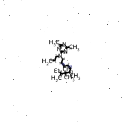 C=CCN(C/C=C\C=C/C(C)C(C)(C)C(=C)CC)c1nc(C)nc(C)n1